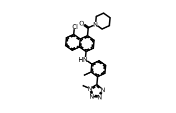 Cc1c(Nc2ccc(C(=O)N3CCCCC3)c3c(Cl)cccc23)cccc1-c1nnnn1C